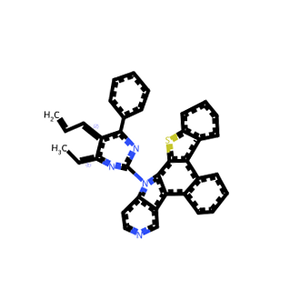 C=C/C=c1/c(-c2ccccc2)nc(-n2c3ccncc3c3c4ccccc4c4c5ccccc5sc4c32)n/c1=C/C